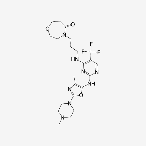 Cc1nc(N2CCN(C)CC2)oc1Nc1ncc(C(F)(F)F)c(NCCCN2CCOCCC2=O)n1